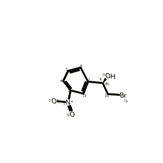 O=[N+]([O-])c1cccc([C@@H](O)CBr)c1